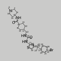 CN1CCC(NC(=O)C2CCC(CNC(=O)Nc3nc(C(C)(C)c4ccc(Br)cc4)cs3)CC2)CC1